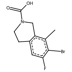 Cc1c(Br)c(F)cc2c1CN(C(=O)O)CC2